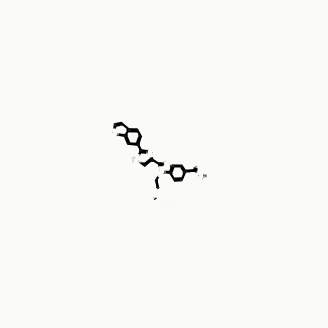 CNC(=O)c1ccc2c(c1)nc(-c1c[nH]c(-c3ccc4cc[nH]c4c3)n1)n2CCOC